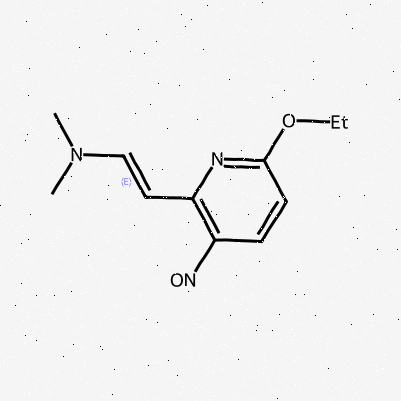 CCOc1ccc(N=O)c(/C=C/N(C)C)n1